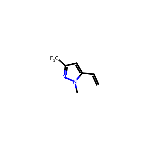 C=Cc1cc(C(F)(F)F)nn1C